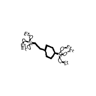 CCO[Si](CCC1CCC([Si](OCC)(OCC)OCC)CC1)(OCC)OCC